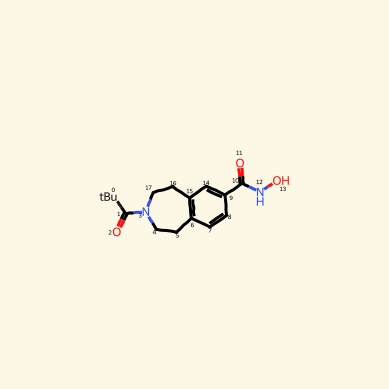 CC(C)(C)C(=O)N1CCc2ccc(C(=O)NO)cc2CC1